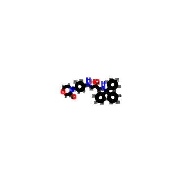 O=C1COCCN1c1ccc(NC[C@@H](O)CNC(c2ccccc2)(c2ccccc2)c2ccccc2)cc1